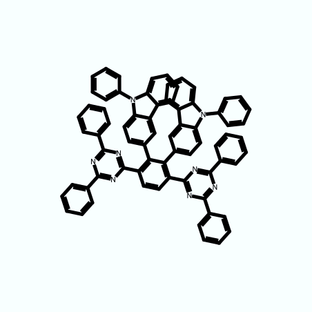 c1ccc(-c2nc(-c3ccccc3)nc(-c3ccc(-c4nc(-c5ccccc5)nc(-c5ccccc5)n4)c(-c4ccc5c(c4)c4ccccc4n5-c4ccccc4)c3-c3ccc4c(c3)c3ccccc3n4-c3ccccc3)n2)cc1